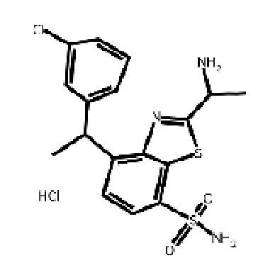 CC(N)c1nc2c(C(C)c3cccc(Cl)c3)ccc(S(N)(=O)=O)c2s1.Cl